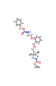 CC(C)(C)OC(=O)N1C[C@@H]2C(COCc3ccccc3OCCNC(=O)OCc3ccccc3)[C@@H]2C1